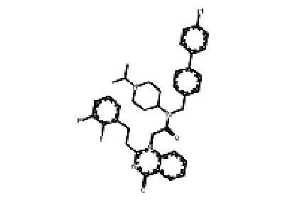 CC(C)N1CCC(N(Cc2ccc(-c3ccc(Cl)cc3)cc2)C(=O)Cn2c(CCc3cccc(F)c3F)nc(=O)c3ccccc32)CC1